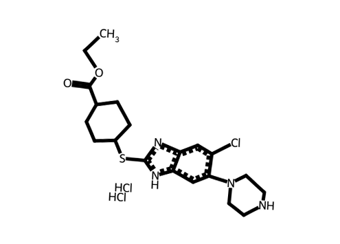 CCOC(=O)C1CCC(Sc2nc3cc(Cl)c(N4CCNCC4)cc3[nH]2)CC1.Cl.Cl